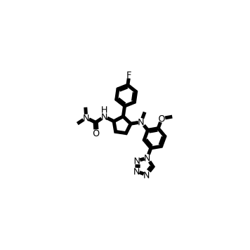 COc1ccc(-n2cnnn2)cc1N(C)C1CCC(NC(=O)N(C)C)C1c1ccc(F)cc1